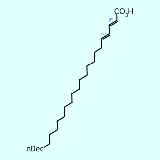 CCCCCCCCCCCCCCCCCCCCCCCCC/C=C/C=C/C(=O)O